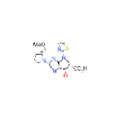 COC[C@H]1CCCN1c1cnc2c(=O)c(C(=O)O)cn(-c3nccs3)c2n1